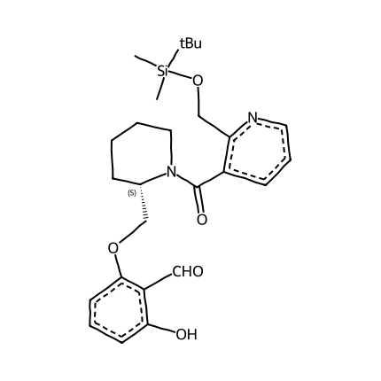 CC(C)(C)[Si](C)(C)OCc1ncccc1C(=O)N1CCCC[C@H]1COc1cccc(O)c1C=O